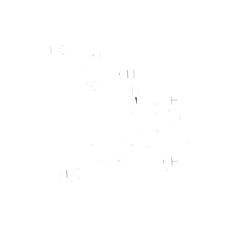 C=CC(=O)OCCC12C3CCC(C(C)OC(=O)C=C)[C@@H]3C3C(C[C@@H]1C)[C@H]32